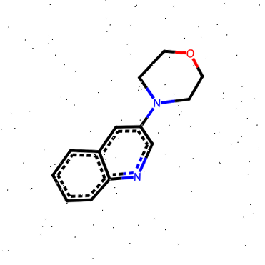 [c]1ccc2cc(N3CCOCC3)cnc2c1